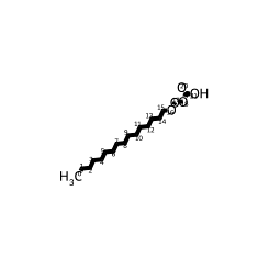 CCCCCCCCCCCCCCCCOOOC(=O)O